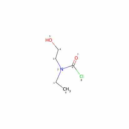 CCN(CCO)C(=O)Cl